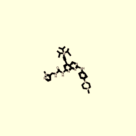 CC(C)[Si](C#Cc1cc(NC(=O)NCc2ccnn2C)nc2nc(Nc3ccc(N4CCN(C)CC4)cc3)ncc12)(C(C)C)C(C)C